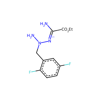 CCOC(=O)/C(N)=N/N(N)Cc1cc(F)ccc1F